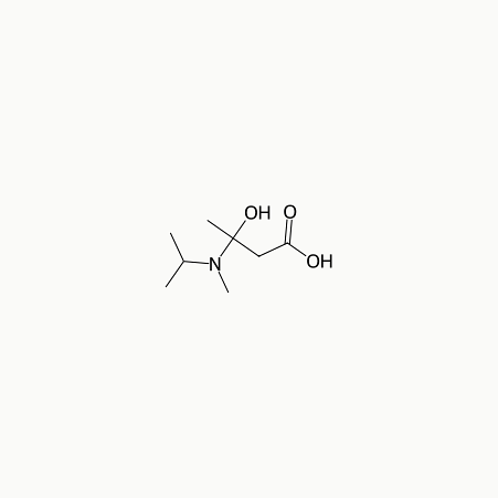 CC(C)N(C)C(C)(O)CC(=O)O